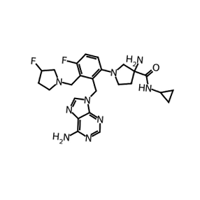 Nc1ncnc2c1ncn2Cc1c(N2CCC(N)(C(=O)NC3CC3)C2)ccc(F)c1CN1CCC(F)C1